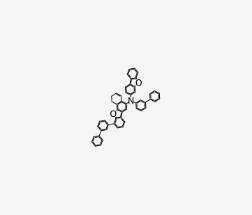 C1=Cc2c(N(c3cccc(-c4ccccc4)c3)c3ccc4c(c3)oc3ccccc34)cc3c(oc4c(-c5cccc(-c6ccccc6)c5)cccc43)c2CC1